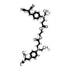 [C-]#[N+]C(=Cc1ccc(N(CC)CCC(=O)OCCOC(=O)CCN(CC)c2ccc(C=C(C#N)C#N)cc2)cc1)[N+]#[C-]